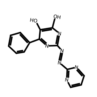 Oc1nc(N=Nc2ncccn2)nc(-c2ccccc2)c1O